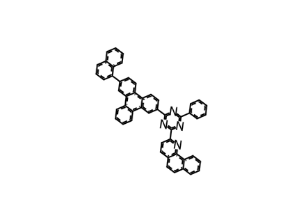 c1ccc(-c2nc(-c3ccc4c5ccc(-c6cccc7ccccc67)cc5c5ccccc5c4c3)nc(-c3ccc4ccc5ccccc5c4n3)n2)cc1